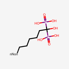 CCCCCCCCCCCCCCC(O)(P(=O)(O)O)P(=O)(O)O